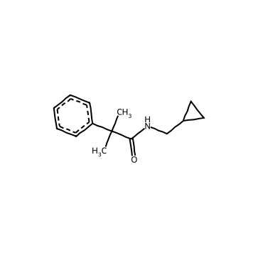 CC(C)(C(=O)NCC1CC1)c1ccccc1